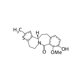 COc1c(O)ccc2c1C(=O)N1CCc3sc(C)cc3[C@@H]1CC2